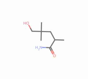 CC(CC(C)(C)CO)C(N)=O